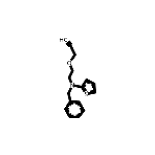 C#CCOCCN(Cc1ccccc1)c1cccs1